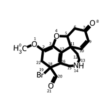 COC1=C2OC3CC(=O)C=CC34CCNCC(=C24)C(Br)(C=O)C1